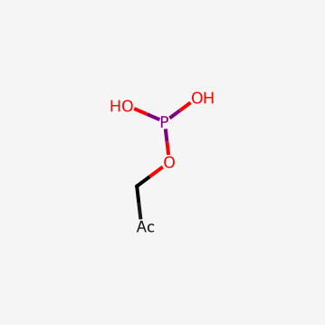 CC(=O)COP(O)O